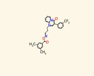 Cc1cc(C)cc(C(=O)O/N=C/CCn2cc(-c3cccc(C(F)(F)F)c3)c(=O)[n+]3ccccc23)c1